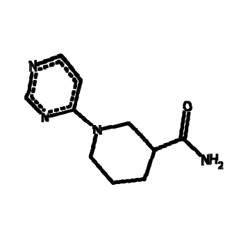 NC(=O)C1CCCN(c2ccncn2)C1